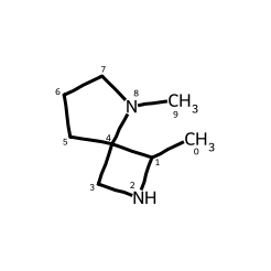 CC1NCC12CCCN2C